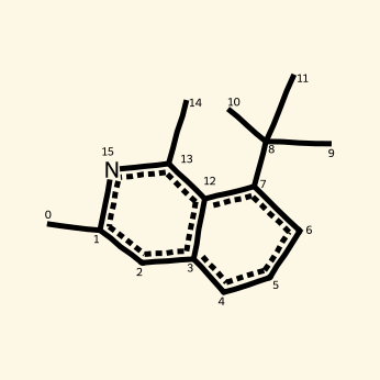 Cc1cc2cccc(C(C)(C)C)c2c(C)n1